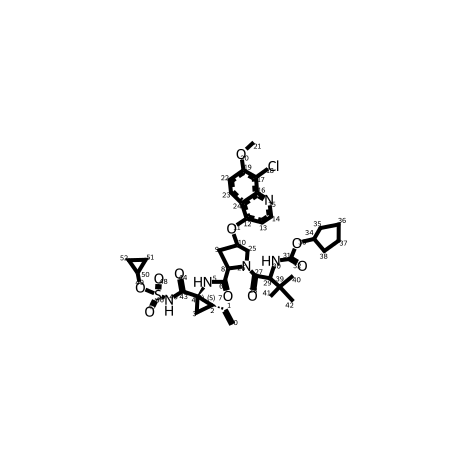 C=C[C@@H]1C[C@]1(NC(=O)C1CC(Oc2ccnc3c(Cl)c(OC)ccc23)CN1C(=O)C(NC(=O)OC1CCCC1)C(C)(C)C)C(=O)NS(=O)(=O)OC1CC1